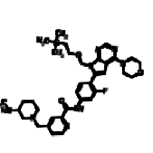 C[Si](C)(C)CCOCn1c(-c2ccc(NC(=O)c3cc(CN4CCCC(NC(=O)O)C4)ccn3)cc2F)cc2c(N3CCOCC3)ncnc21